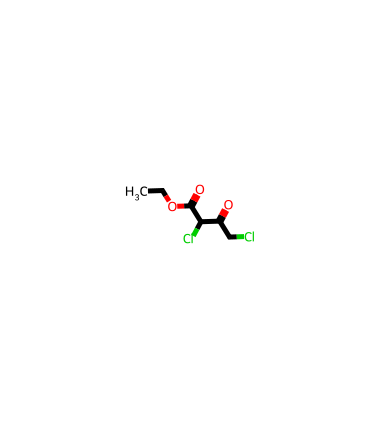 CCOC(=O)C(Cl)C(=O)CCl